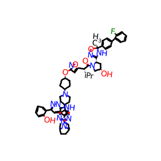 CC(C)[C@@H](C(=O)N1C[C@H](O)C[C@H]1C1=NO[C@](C)(c2ccc(-c3ccccc3F)cc2)N1)c1cc(O[C@H]2CC[C@H](N3CCC(c4cnc(N5C6CCC5CN(c5c[nH]c7nnc(-c8ccccc8O)cc57)C6)nc4)CC3)CC2)no1